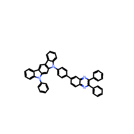 c1ccc(-c2nc3ccc(-c4ccc(-n5c6ccccc6c6cc7c8ccccc8n(-c8ccccc8)c7cc65)cc4)cc3nc2-c2ccccc2)cc1